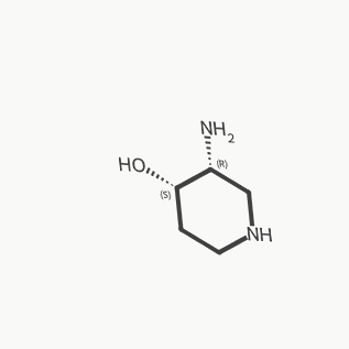 N[C@@H]1CNCC[C@@H]1O